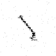 CCCC(C)C(=O)NCC(F)C(C)(C)OCCOCCOCCOCCOCCNC(C)CC